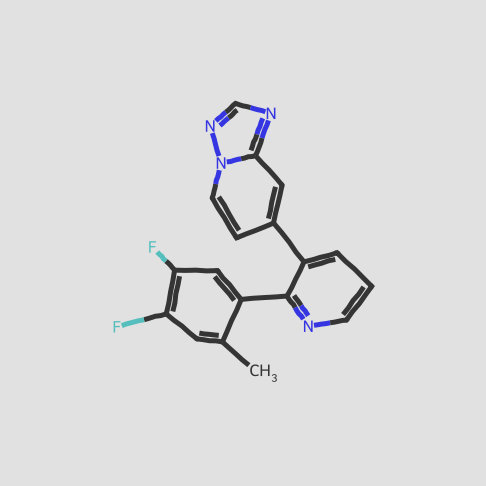 Cc1cc(F)c(F)cc1-c1ncccc1-c1ccn2ncnc2c1